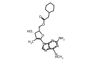 CNc1nc(N)nc2c1ncn2C1=C(C)[C@H](O)[C@@H](COC(=O)CC2CCCCC2)O1